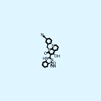 N#Cc1cccc(Cn2c(=O)c(C3=NS(O)(O)c4ccccc4N3)c(O)c3cccnc32)c1